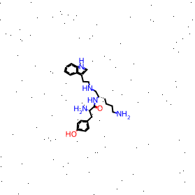 NCCCC[C@@H](CNCCc1c[nH]c2ccccc12)NC(=O)[C@@H](N)Cc1ccc(O)cc1